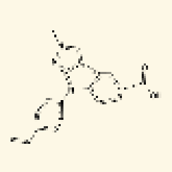 C=Cc1ccc(-n2c3ccc(C(=O)O)cc3c3cn(C)nc32)cc1